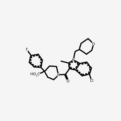 Cc1c(C(=O)N2CCC(C(=O)O)(c3ccc(F)cc3)CC2)c2cc(Cl)ccc2n1CC1CCOCC1